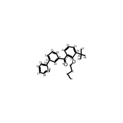 CCCCOc1c(C(=O)c2cccc(-c3ccccn3)c2)cccc1C(C)(C)C